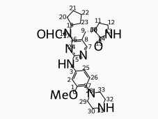 COc1cc(Nc2ncc(C[C@@H]3CCNC3=O)c(N(C=O)C3CCCC3)n2)ccc1N1CCNCC1